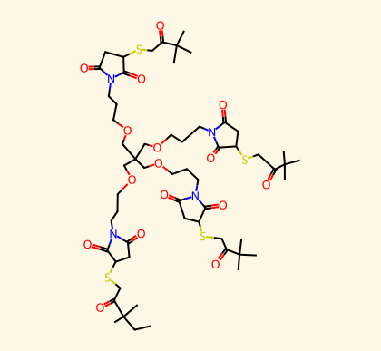 CCC(C)(C)C(=O)CSC1CC(=O)N(CCCOCC(COCCCN2C(=O)CC(SCC(=O)C(C)(C)C)C2=O)(COCCCN2C(=O)CC(SCC(=O)C(C)(C)C)C2=O)COCCCN2C(=O)CC(SCC(=O)C(C)(C)C)C2=O)C1=O